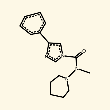 CN(C(=O)n1cnc(-c2ccccc2)c1)N1CCCCC1